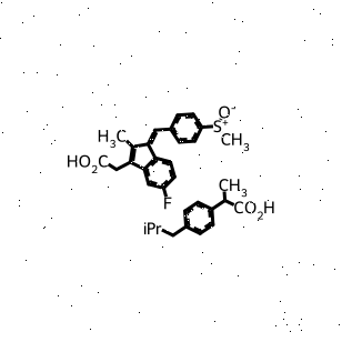 CC(C)Cc1ccc(C(C)C(=O)O)cc1.CC1=C(CC(=O)O)c2cc(F)ccc2/C1=C\c1ccc([S+](C)[O-])cc1